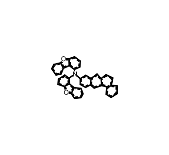 c1ccc2c(c1)ccc1cc3cc(N(c4cccc5oc6ccccc6c45)c4cccc5oc6ccccc6c45)ccc3cc12